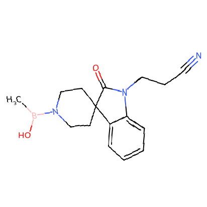 CB(O)N1CCC2(CC1)C(=O)N(CCC#N)c1ccccc12